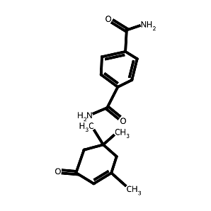 CC1=CC(=O)CC(C)(C)C1.NC(=O)c1ccc(C(N)=O)cc1